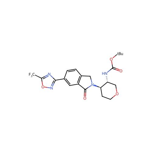 CC(C)(C)OC(=O)N[C@@H]1COCC[C@H]1N1Cc2ccc(-c3noc(C(F)(F)F)n3)cc2C1=O